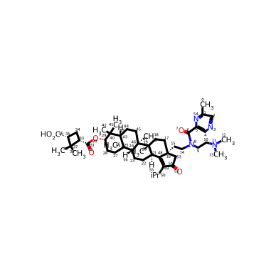 Cc1cncc(C(=O)N(CCN(C)C)CC[C@@]23CC[C@]4(C)[C@H](CC[C@@H]5[C@@]6(C)CC[C@H](OC(=O)[C@H]7C[C@@H](C(=O)O)C7(C)C)C(C)(C)[C@@H]6CC[C@]54C)C2=C(C(C)C)C(=O)C3)n1